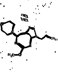 C=CCn1cnc2c(N3CCNCC3)nc(OC)nc21.Cl.Cl